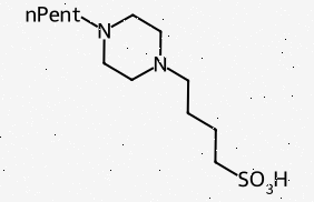 CCCCCN1CCN(CCCCS(=O)(=O)O)CC1